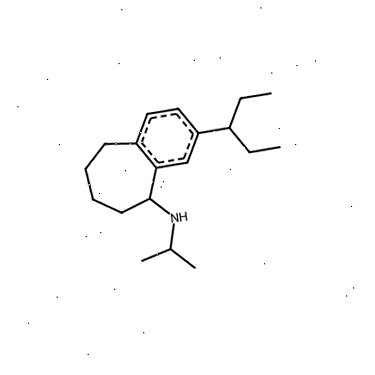 CCC(CC)c1ccc2c(c1)C(NC(C)C)CCCC2